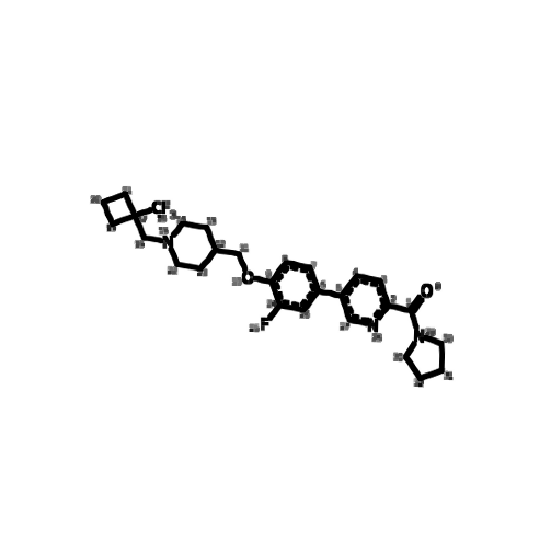 O=C(c1ccc(-c2ccc(OCC3CCN(CC4(C(F)(F)F)CCC4)CC3)c(F)c2)cn1)N1CCCC1